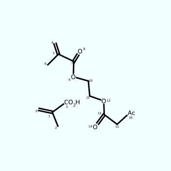 C=C(C)C(=O)O.C=C(C)C(=O)OCCOC(=O)CC(C)=O